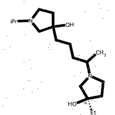 CC[C@@]1(O)CCN(C(C)CCCC2(O)CCN(C(C)C)C2)C1